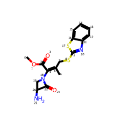 COC(=O)/C(=C(/C)CSc1nc2ccccc2s1)N1CC(N)C1=O